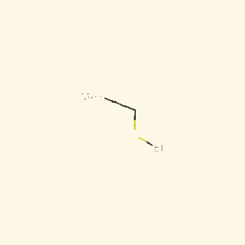 [CH2]SCSCC